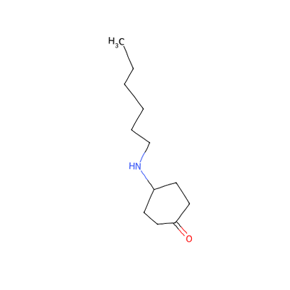 CCCCCCNC1CCC(=O)CC1